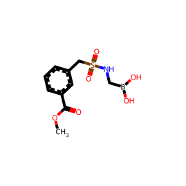 COC(=O)c1cccc(CS(=O)(=O)NCB(O)O)c1